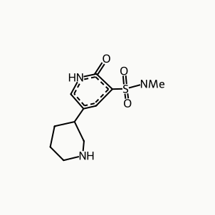 CNS(=O)(=O)c1cc(C2CCCNC2)c[nH]c1=O